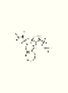 CCC(C)(CC(C)(CC(C)N1CCCCCC1=O)C(=O)N(C)C)C(=O)NC(C)(C)CC(C)(C)C